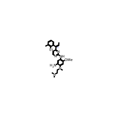 C/C=C(/c1ccnc(Nc2cc(N)c(N(C)CCN(C)C)cc2OC)n1)c1cccc(C)c1CC